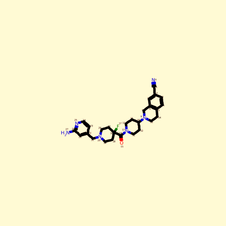 N#Cc1ccc2c(c1)CN(C1CCN(C(=O)C3(F)CCN(Cc4ccnc(N)c4)CC3)CC1)CC2